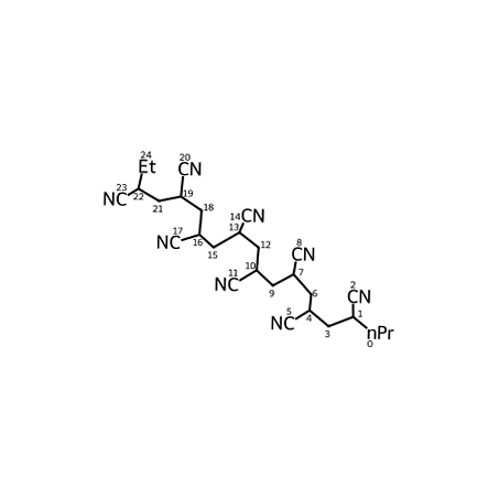 CCCC(C#N)CC(C#N)CC(C#N)CC(C#N)CC(C#N)CC(C#N)CC(C#N)CC(C#N)CC